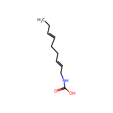 CCC=CCCC=CCNC(=O)O